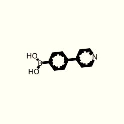 OB(O)c1ccc(-c2ccncc2)cc1